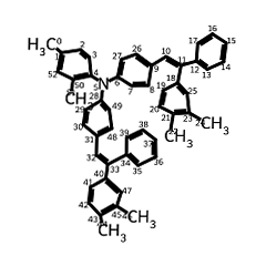 Cc1ccc(N(c2ccc(/C=C(/c3ccccc3)c3ccc(C)c(C)c3)cc2)c2ccc(/C=C(\c3ccccc3)c3ccc(C)c(C)c3)cc2)c(C)c1